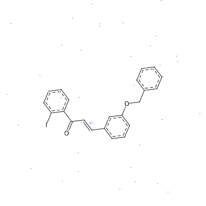 O=C(/C=C/c1cccc(OCc2ccccc2)c1)c1ccccc1I